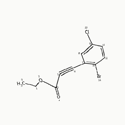 CCOC(=O)C#Cc1cc(Cl)ccc1Br